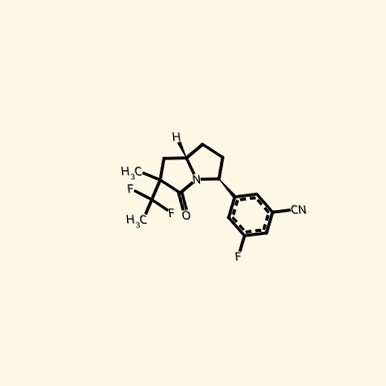 CC(F)(F)C1(C)C[C@@H]2CC[C@@H](c3cc(F)cc(C#N)c3)N2C1=O